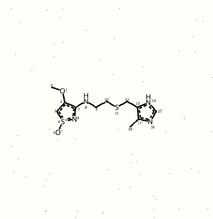 COc1c[s+]([O-])nc1NCCSCc1[nH]cnc1C